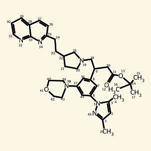 Cc1cc(C)n(-c2cc(C(CC(=O)OC(C)(C)C)CN3CCC(CCc4ccc5cccnc5n4)C3)cc(N3CCOCC3)c2)n1